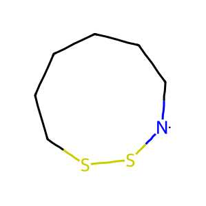 C1CCCSS[N]CC1